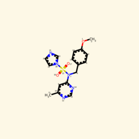 COc1ccc(CN(c2cc(C)ncn2)S(=O)(=O)n2ccnc2)cc1